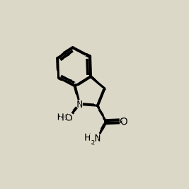 NC(=O)C1Cc2ccccc2N1O